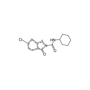 O=C(NC1CCCCC1)n1sc2cc(Cl)ccc2c1=O